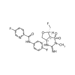 CN1C(=N)N[C@@]2(c3cc(NC(=O)c4ccc(F)cn4)ccc3F)CO[C@H](CF)[C@H]2S1(=O)=O